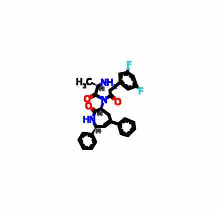 C[C@H](N)C(=O)N(C(=O)Cc1cc(F)cc(F)c1)[C@H]1CC(c2ccccc2)=C[C@H](c2ccccc2)NC1=O